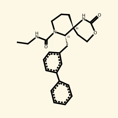 CCNC(=O)N1CCC[C@@]2(CCOC(=O)N2)[C@@H]1Cc1cccc(-c2ccccc2)c1